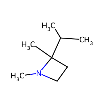 CC(C)C1(C)CCN1C